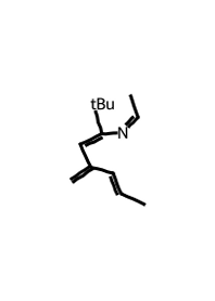 C=C(/C=C(\N=C/C)C(C)(C)C)/C=C/C